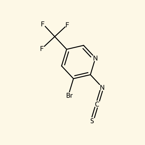 FC(F)(F)c1cnc(N=C=S)c(Br)c1